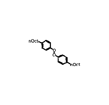 CCCCCCCCc1ccc(OOc2ccc(CCCCCCCC)cc2)cc1